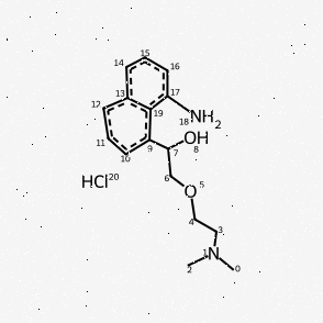 CN(C)CCOCC(O)c1cccc2cccc(N)c12.Cl